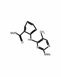 CNC(=O)c1ccccc1Nc1nc(NC)ncc1C